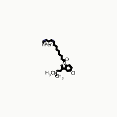 CCCCC/C=C\C/C=C\CCCCCCCC(=O)n1cc(CCN(C)C)c2cc(Cl)ccc21